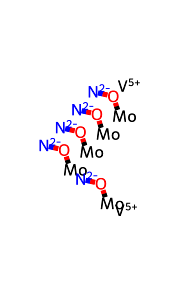 [N-2][O][Mo].[N-2][O][Mo].[N-2][O][Mo].[N-2][O][Mo].[N-2][O][Mo].[V+5].[V+5]